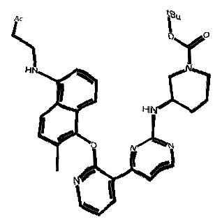 CC(=O)CCNc1cccc2c(Oc3ncccc3-c3ccnc(NC4CCCN(C(=O)OC(C)(C)C)C4)n3)c(C)ccc12